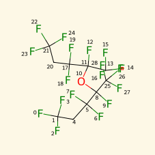 FC(F)(F)CC(F)(F)C(F)(OC(F)(C(F)(F)F)C(F)(F)CC(F)(F)F)C(F)(F)F